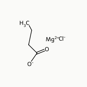 CCCC(=O)[O-].[Cl-].[Mg+2]